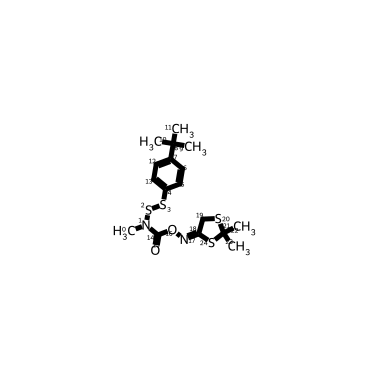 CN(SSc1ccc(C(C)(C)C)cc1)C(=O)ON=C1CSC(C)(C)S1